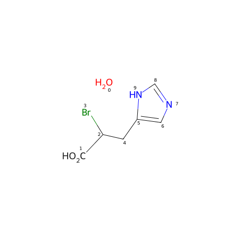 O.O=C(O)C(Br)Cc1cnc[nH]1